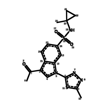 CC(=O)c1cn(-c2nnc(C)s2)c2cc(S(=O)(=O)NC3(C)CC3)ccc12